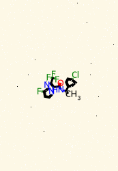 CC(NC(=O)c1c(C(F)(F)F)nc2c(F)cccn12)c1ccc(Cl)cc1